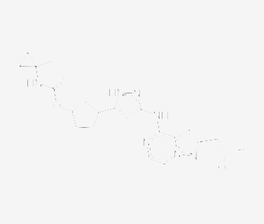 C[S+]([O-])Cc1cc2c(Nc3cc(C4CCC(OC(=O)NC5(C)CC5)C4)[nH]n3)nccn2n1